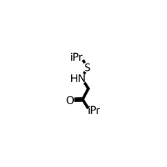 CC(C)SNCC(=O)C(C)C